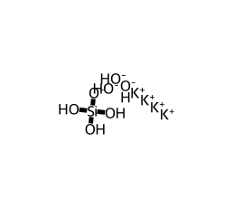 [K+].[K+].[K+].[K+].[O-][Si](O)(O)O.[OH-].[OH-].[OH-]